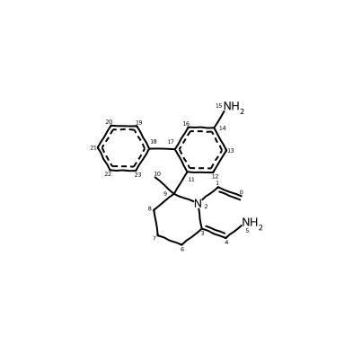 C=CN1/C(=C\N)CCCC1(C)c1ccc(N)cc1-c1ccccc1